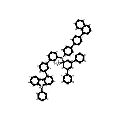 CC1(N(c2ccc(-c3ccc(-c4cccc5ccccc45)cc3)cc2)c2cccc(-c3cccc(-c4cccc5c4c4ccccc4n5-c4ccccc4)c3)c2)C=C(c2ccccc2)C=C(c2ccccc2)C1